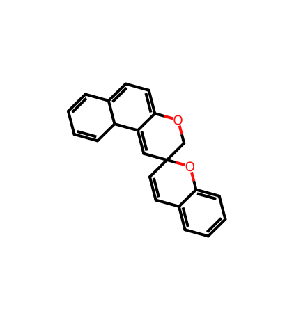 C1=CC2=CC=C3OCC4(C=Cc5ccccc5O4)C=C3C2C=C1